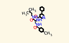 Cc1ccc(C(=O)NC[C@H](NC(=O)c2cncc(-c3ccccc3)c2)C(=O)NCCC(C)C)cc1